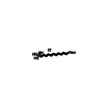 CCCCCCCCCCCCCCCCCCCC[N+](O)(O)O.[Cl-]